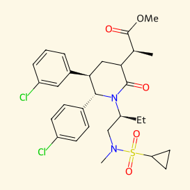 CC[C@@H](CN(C)S(=O)(=O)C1CC1)N1C(=O)C([C@H](C)C(=O)OC)C[C@H](c2cccc(Cl)c2)[C@H]1c1ccc(Cl)cc1